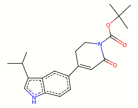 CC(C)c1c[nH]c2ccc(C3=CC(=O)N(C(=O)OC(C)(C)C)CC3)cc12